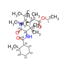 CCOC(=O)/C(C)=C/C(C(C)C)N(C)C(=O)C(NC(=O)C1CCCCC1C)C(C)(C)C